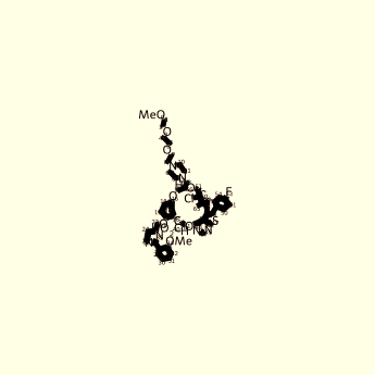 COCCOCCOCCN1CCN(C[C@@H]2COc3ccc(OCc4ccnc(-c5ccccc5OC)n4)c(c3)C[C@H](C(=O)O)Oc3ncnc4sc(-c5ccc(F)cc5)c(c34)-c3ccc(c(Cl)c3C)O2)CC1